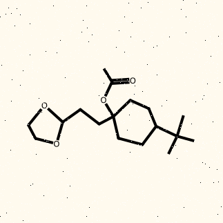 CC(=O)OC1(CCC2OCCO2)CCC(C(C)(C)C)CC1